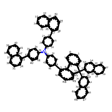 c1ccc2c(c1)-c1c(-c3ccc(N(c4ccc(-c5cccc6ccccc56)cc4)c4ccc(-c5cccc6ccccc56)cc4)cc3)cccc1C2(c1ccc2ccccc2c1)c1ccc2ccccc2c1